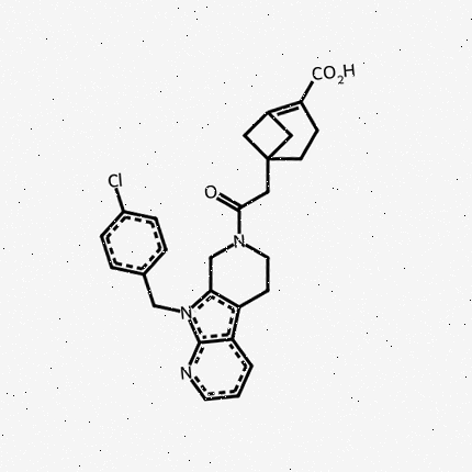 O=C(O)C1=C2CC(CC(=O)N3CCc4c(n(Cc5ccc(Cl)cc5)c5ncccc45)C3)(CC1)C2